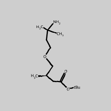 C[C@@H](COCCC(C)(C)N)CC(=O)OC(C)(C)C